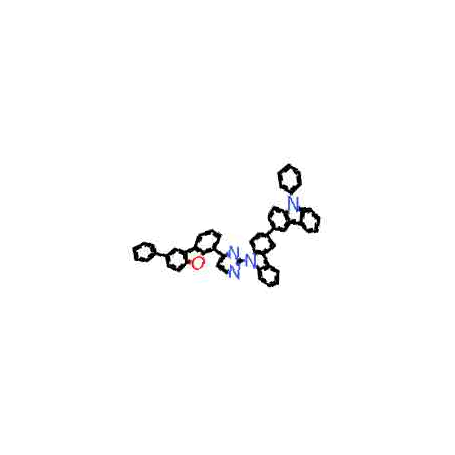 c1ccc(-c2ccc3oc4c(-c5ccnc(-n6c7ccccc7c7cc(-c8ccc9c(c8)c8ccccc8n9-c8ccccc8)ccc76)n5)cccc4c3c2)cc1